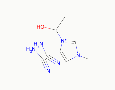 CC(O)[n+]1ccn(C)c1.N#CN.N#CN